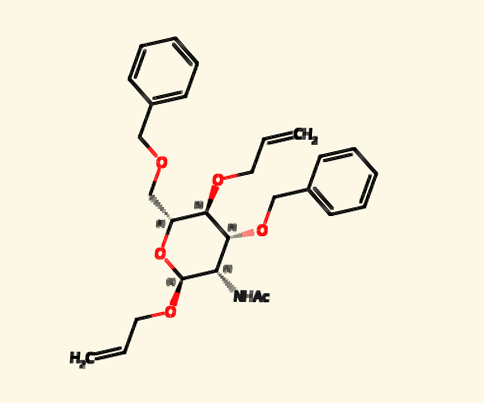 C=CCO[C@H]1O[C@H](COCc2ccccc2)[C@@H](OCC=C)[C@H](OCc2ccccc2)[C@@H]1NC(C)=O